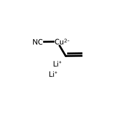 C=[CH][Cu-2][C]#N.[Li+].[Li+]